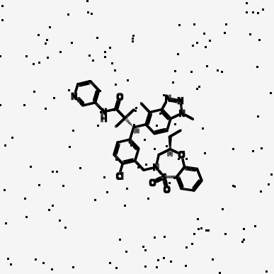 CC[C@@H]1CN(Cc2cc([C@@H](c3ccc4c(nnn4C)c3C)C(C)(C)C(=O)Nc3cccnc3)ccc2Cl)S(=O)(=O)c2ccccc2O1